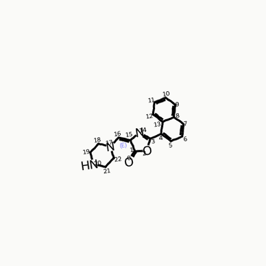 O=C1OC(c2cccc3ccccc23)=N/C1=C/N1CCNCC1